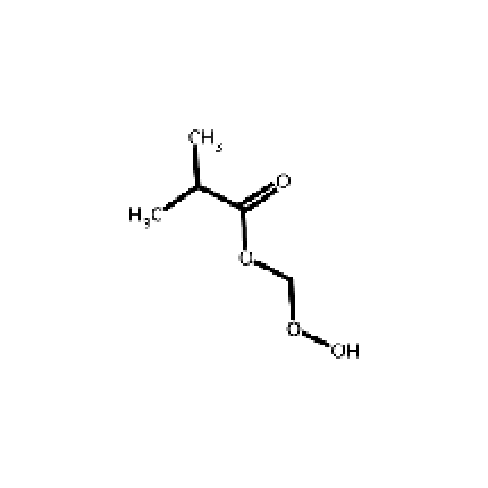 CC(C)C(=O)OCOO